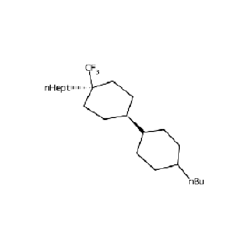 CCCCCCC[C@]1(C(F)(F)F)CC[C@@H](C2CCC(CCCC)CC2)CC1